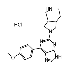 COc1ccc(-c2nc(N3CC4CCNCC4C3)nc3[nH]cnc23)cc1.Cl